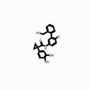 CCc1ccc(NC(=O)C2(c3ccc(O)c(O)c3)CC2)cc1-c1ccccc1CO